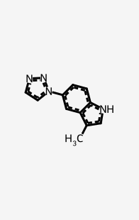 Cc1c[nH]c2ccc(-n3ccnn3)cc12